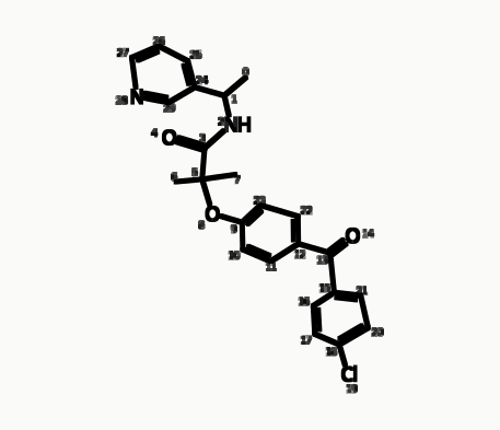 CC(NC(=O)C(C)(C)Oc1ccc(C(=O)c2ccc(Cl)cc2)cc1)c1cccnc1